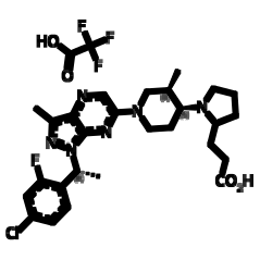 Cc1nn([C@H](C)c2ccc(Cl)cc2F)c2nc(N3CC[C@H](N4CCCC4CCC(=O)O)[C@H](C)C3)cnc12.O=C(O)C(F)(F)F